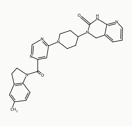 Cc1ccc2c(c1)CCN2C(=O)c1cc(N2CCC(N3Cc4cccnc4NC3=O)CC2)ncn1